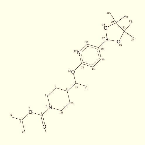 CC(C)OC(=O)N1CCC(C(C)Oc2ccc(B3OC(C)(C)C(C)(C)O3)cn2)CC1